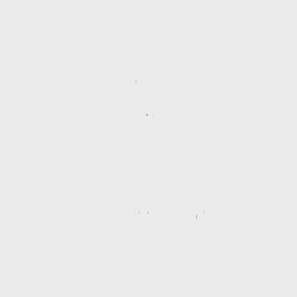 CC(S)NC(=O)c1ccc(O)c(O)c1Cl